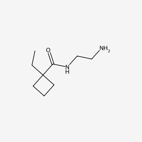 CCC1(C(=O)NCCN)CCC1